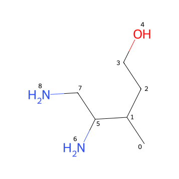 CC(CCO)C(N)CN